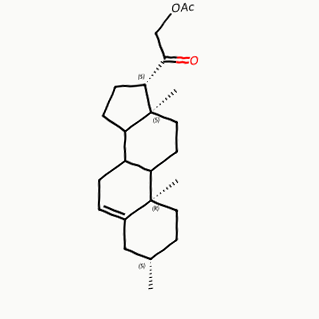 CC(=O)OCC(=O)[C@H]1CCC2C3CC=C4C[C@@H](C)CC[C@]4(C)C3CC[C@@]21C